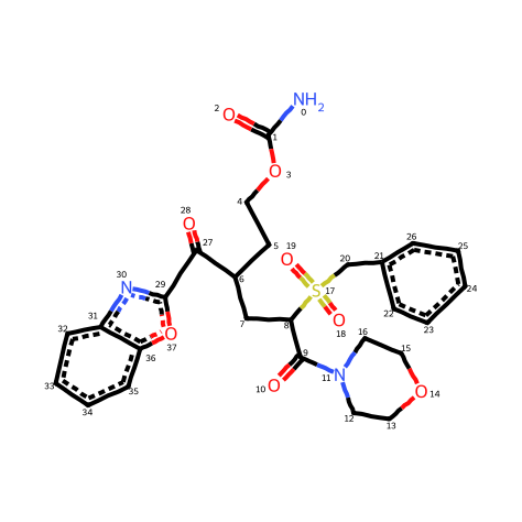 NC(=O)OCCC(CC(C(=O)N1CCOCC1)S(=O)(=O)Cc1ccccc1)C(=O)c1nc2ccccc2o1